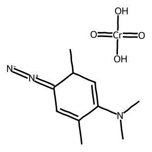 CC1=CC(=[N+]=[N-])C(C)C=C1N(C)C.[O]=[Cr](=[O])([OH])[OH]